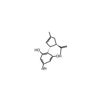 C=C(C)[C@@H]1CC(C)=C[C@H]1c1c(O)cc(CCC)cc1O